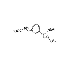 CNC1N(C)C=[N+]1c1cccc(CNC(=O)[O-])c1